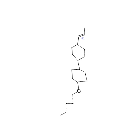 C/C=C/C1CCC(C2CCC(OCCCCC)CC2)CC1